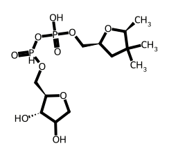 C[C@@H]1O[C@H](COP(=O)(O)O[PH](=O)OC[C@H]2OCC(O)[C@@H]2O)CC1(C)C